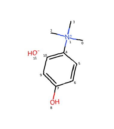 C[N+](C)(C)c1ccc(O)cc1.[OH-]